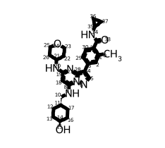 Cc1cc(-c2cnn3c(NC[C@H]4CC[C@H](O)CC4)cc(NC4CCOCC4)nc23)ccc1C(=O)NC1CC1